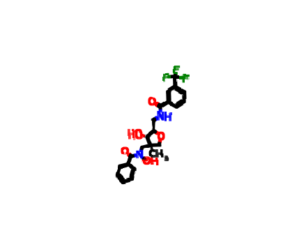 C[C@@]1(CN(O)C(=O)c2ccccc2)CO[C@H](CNC(=O)c2cccc(C(F)(F)F)c2)[C@H]1O